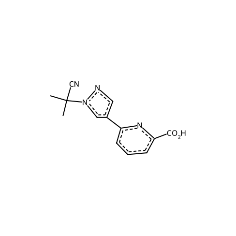 CC(C)(C#N)n1cc(-c2cccc(C(=O)O)n2)cn1